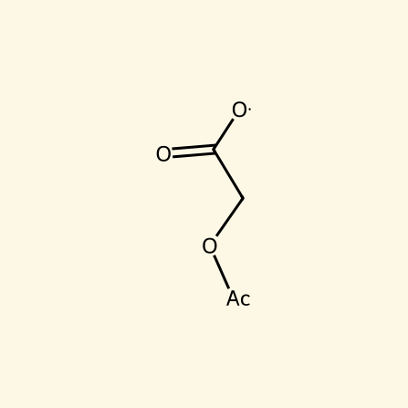 CC(=O)OCC([O])=O